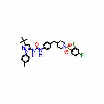 Cc1ccc(-n2nc(C(C)(C)C)cc2NC(=O)Nc2ccc(CC3CCN(S(=O)(=O)c4ccc(F)cc4F)CC3)cc2)cc1